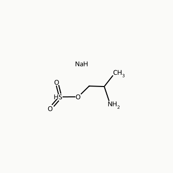 CC(N)CO[SH](=O)=O.[NaH]